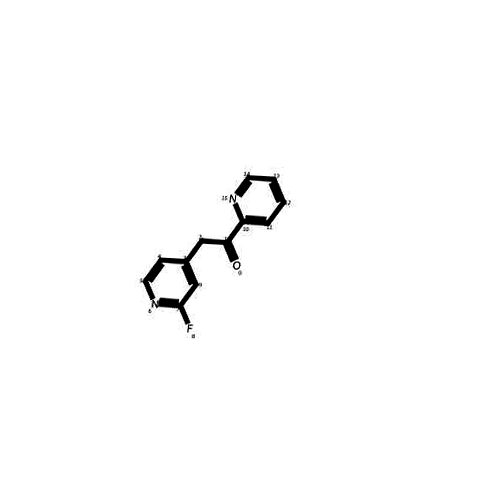 O=C(Cc1ccnc(F)c1)c1ccccn1